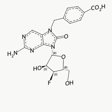 Nc1ncc2c(n1)n([C@@H]1O[C@H](CO)[C@@H](F)[C@H]1O)c(=O)n2Cc1ccc(C(=O)O)cc1